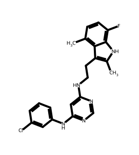 Cc1[nH]c2c(F)ccc(C)c2c1CCNc1cc(Nc2cccc(Cl)c2)ncn1